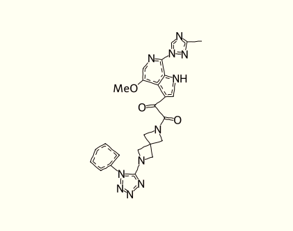 COc1cnc(-n2cnc(C)n2)c2[nH]cc(C(=O)C(=O)N3CC4(C3)CN(c3nnnn3-c3ccccc3)C4)c12